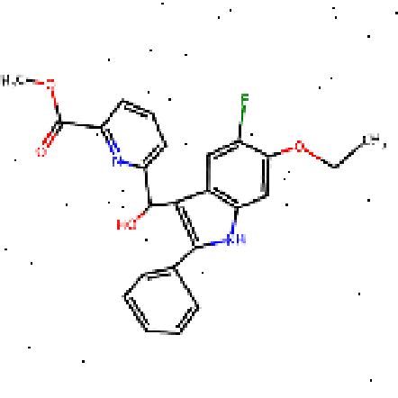 CCOc1cc2[nH]c(-c3ccccc3)c(C(O)c3cccc(C(=O)OC)n3)c2cc1F